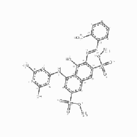 NOS(=O)(=O)c1cc(Nc2nc(N)nc(O)n2)c2c(O)c(N=Nc3ccccc3C(=O)O)c(S(=O)(=O)ON)cc2c1